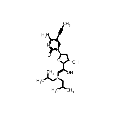 CC#Cc1cn([C@H]2C[C@H](O)[C@@H](C(O)=CN(CC(C)C)CC(C)C)O2)c(=O)nc1N